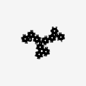 c1ccc(-n2c3ccccc3c3cc(-c4ccc(N(c5ccc(-c6cccc7c6oc6ccccc67)cc5)c5ccc6c7ccccc7c7ccccc7c6c5)cc4)ccc32)cc1